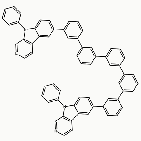 c1ccc(-n2c3ccc(-c4cccc(-c5cccc(-c6cccc(-c7cccc(-c8cccc(-c9ccc%10c(c9)c9ccncc9n%10-c9ccccc9)c8)c7)c6)c5)c4)cc3c3ccncc32)cc1